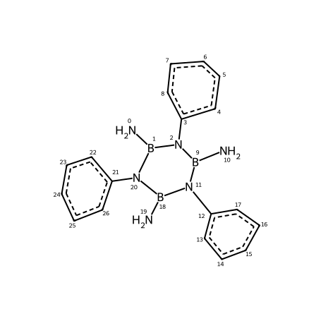 NB1N(c2ccccc2)B(N)N(c2ccccc2)B(N)N1c1ccccc1